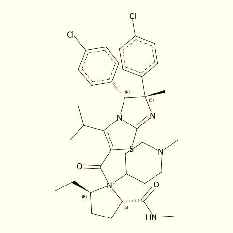 CC[C@@H]1CC[C@@H](C(=O)NC)[N+]1(C(=O)C1=C(C(C)C)N2C(=N[C@@](C)(c3ccc(Cl)cc3)[C@H]2c2ccc(Cl)cc2)S1)C1CCN(C)CC1